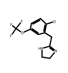 FC(F)(F)Oc1ccc(Cl)c(CC2=NCCN2)c1